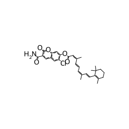 CC(C=CC1=C(C)CCCC1(C)C)=CC=CC(C)=CC(=O)Oc1cc2oc(=O)c(C(N)=O)cc2cc1Cl